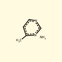 Cc1ccncn1.N